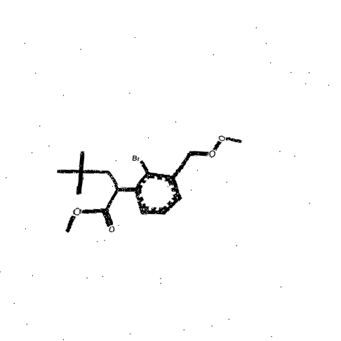 COOCc1cccc(C(CC(C)(C)C)C(=O)OC)c1Br